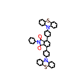 O=C1c2c(-c3ccc(N4c5ccccc5Sc5ccccc54)cc3)ccc(-c3ccc(N4c5ccccc5Sc5ccccc54)cc3)c2C(=O)N1c1ccccc1